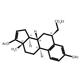 CCOC(=O)C[C@@H]1C[C@@H]2[C@H](CC[C@]3(C)C(OC(C)=O)=CC[C@@H]23)c2ccc(OC(C)=O)cc21